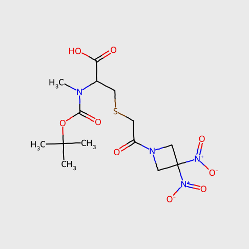 CN(C(=O)OC(C)(C)C)C(CSCC(=O)N1CC([N+](=O)[O-])([N+](=O)[O-])C1)C(=O)O